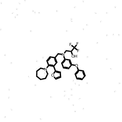 OC(CN(Cc1ccc(N2CCCCCC2)c(-c2ccco2)c1)c1cccc(Oc2ccccc2)c1)C(F)(F)F